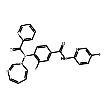 O=C(Nc1ccc(F)cn1)c1ccc(N(C(=O)c2ccccn2)N2C=CC=CN=C2)c(F)c1